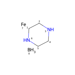 B.C1CNCCN1.[Fe]